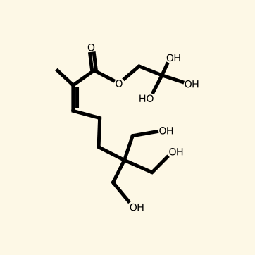 CC(=CCCC(CO)(CO)CO)C(=O)OCC(O)(O)O